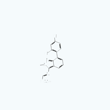 CO/C=N/c1c2cccc(-c3ccc(Cl)cc3Cl)c2nn1C